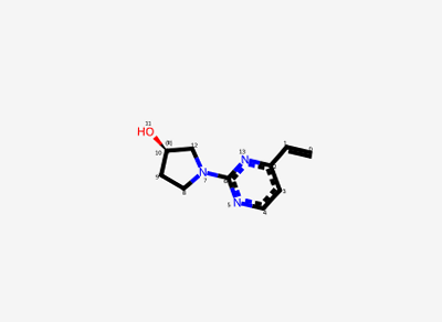 C=Cc1ccnc(N2CC[C@@H](O)C2)n1